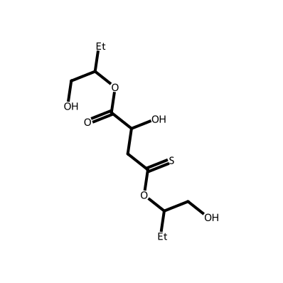 CCC(CO)OC(=O)C(O)CC(=S)OC(CC)CO